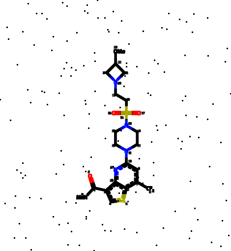 CNC(=O)c1csc2c(C(F)(F)F)cc(N3CCN(S(=O)(=O)CCN4CC(OC)C4)CC3)nc12